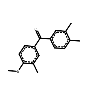 CSc1ccc(C(=O)c2ccc(C)c(C)c2)cc1C